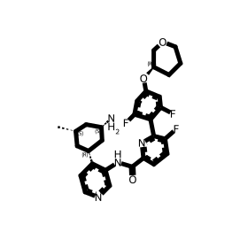 C[C@@H]1C[C@H](N)C[C@H](c2ccncc2NC(=O)c2ccc(F)c(-c3c(F)cc(O[C@@H]4CCCOC4)cc3F)n2)C1